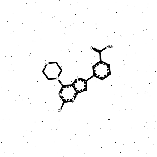 CNC(=O)c1cccc(-c2cc3nc(Cl)nc(N4CCOCC4)c3s2)c1